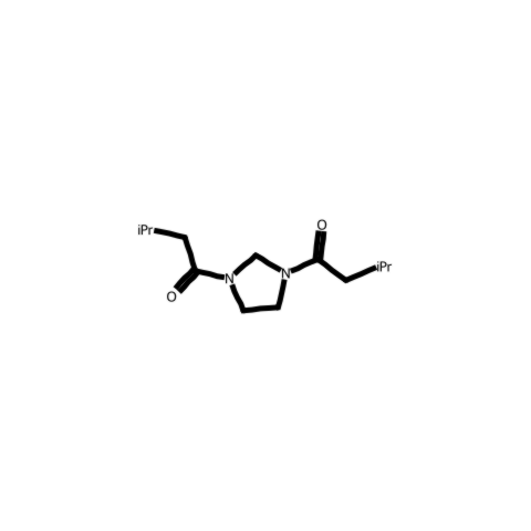 CC(C)CC(=O)N1CCN(C(=O)CC(C)C)C1